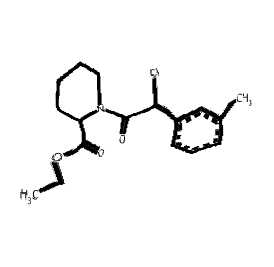 CCOC(=O)C1CCCCN1C(=O)C(Cl)c1cccc(C)c1